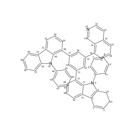 C1=Cc2c(n(-c3ccccc3)c3c(-c4cc(-c5cccc6ccncc56)cc(-c5cccc6c7ccccc7n(-c7ccccc7)c56)c4)cccc23)CC1